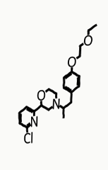 CCOCCOc1ccc(CC(C)N2CCOC(c3cccc(Cl)n3)C2)cc1